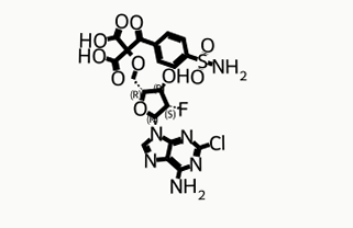 Nc1nc(Cl)nc2c1ncn2[C@@H]1O[C@H](COC(C(=O)O)(C(=O)O)C(=O)c2ccc(S(N)(=O)=O)cc2)[C@@H](O)[C@@H]1F